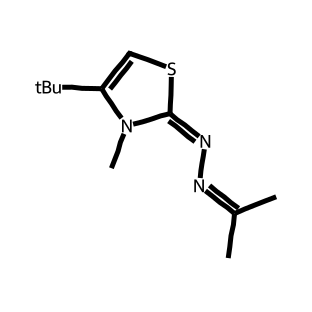 CC(C)=NN=c1scc(C(C)(C)C)n1C